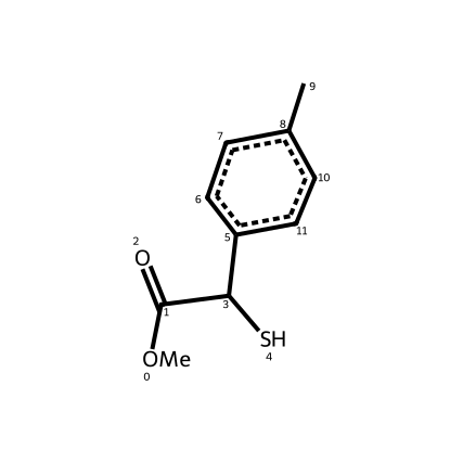 COC(=O)C(S)c1ccc(C)cc1